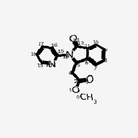 COC(=O)CC1c2ccccc2C(=O)N1c1ccccn1